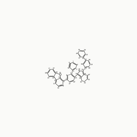 c1cccc(-c2cc(-c3cccc4c3oc3ccccc34)ccc2-c2sc(-c3cccc(-c4ccccc4)c3)c3c2CCC=C3)c#1